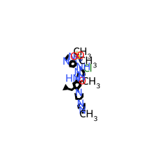 COc1cc(N2CCC(N3CCN(C)CC3)CC2)c(CC2CC2)cc1Nc1ncc(Cl)c(Nc2ccc3nccnc3c2N(C)S(C)(=O)=O)n1